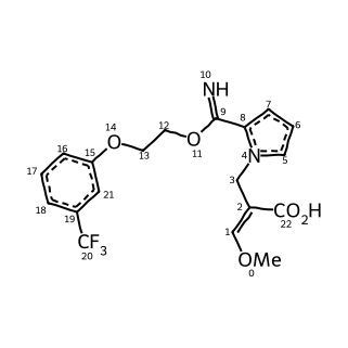 CO/C=C(/Cn1cccc1C(=N)OCCOc1cccc(C(F)(F)F)c1)C(=O)O